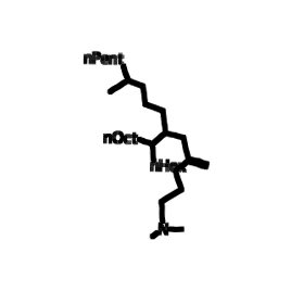 C=C(CCCN(C)C)CC(CCCC(C)CCCCC)C(CCCCCC)CCCCCCCC